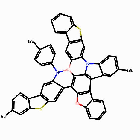 CC(C)(C)c1ccc(N2B3c4cc5c(cc4-n4c6ccc(C(C)(C)C)cc6c6c7c(oc8ccccc87)c(c3c64)-c3cc4sc6cc(C(C)(C)C)ccc6c4cc32)sc2ccccc25)cc1